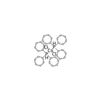 [Cl][Co]([Cl])([PH](c1ccccc1)(c1ccccc1)c1ccccc1)[PH](c1ccccc1)(c1ccccc1)c1ccccc1